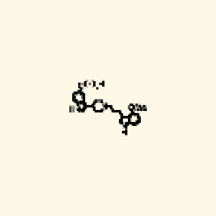 COc1cccc2[nH]cc(CCCN3CCC(c4c[nH]c5ccc(OC(=O)O)cc45)CC3)c12